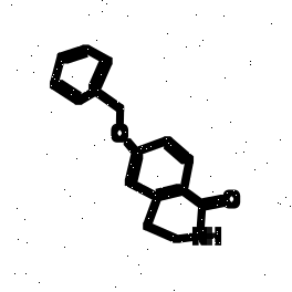 O=C1NCCc2cc(OCc3ccccc3)ccc21